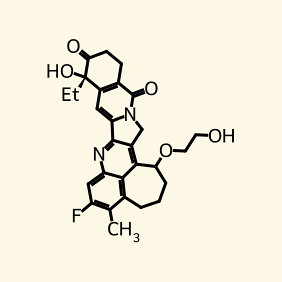 CC[C@@]1(O)C(=O)CCc2c1cc1n(c2=O)Cc2c-1nc1cc(F)c(C)c3c1c2C(OCCO)CCC3